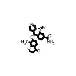 Cc1c(OC(c2ccncc2)c2ccc(C(N)=O)cc2OC(C)C)ccc2c1OCCC2=O